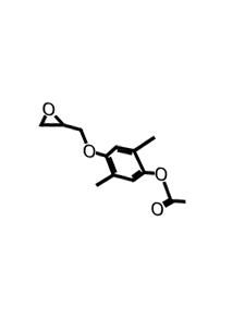 CC(=O)Oc1cc(C)c(OCC2CO2)cc1C